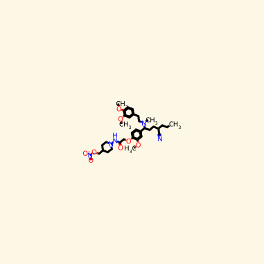 CCCC(C#N)CCC(c1ccc(OCC(=O)NN2CCC(CO[N+](=O)[O-])CC2)c(OC)c1)N(C)CCc1ccc(OC)c(OC)c1